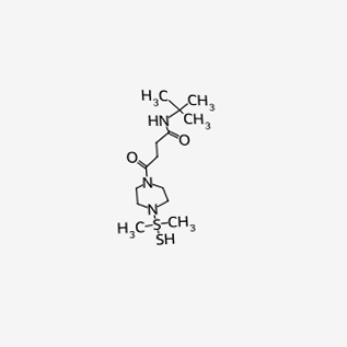 CC(C)(C)NC(=O)CCC(=O)N1CCN(S(C)(C)S)CC1